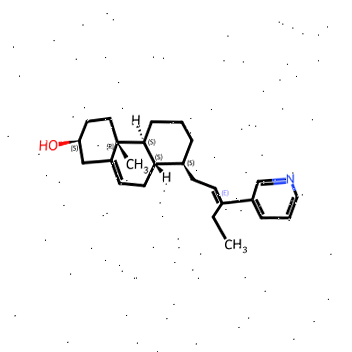 CC/C(=C\C[C@@H]1CCC[C@H]2[C@H]1CC=C1C[C@@H](O)CC[C@@]12C)c1cccnc1